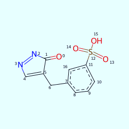 O=C1N=NC=C1Cc1cccc(S(=O)(=O)O)c1